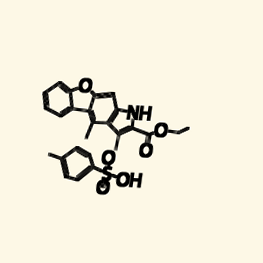 CCOC(=O)c1[nH]c2cc3oc4ccccc4c3c(C)c2c1C.Cc1ccc(S(=O)(=O)O)cc1